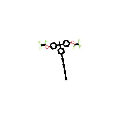 C#CC#CC#CC#Cc1ccc(C(C)(c2ccc(OC(F)=C(F)F)cc2)c2ccc(OC(F)=C(F)F)cc2)cc1